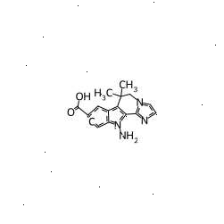 CC1(C)Cn2ccnc2-c2c1c1cc(C(=O)O)ccc1n2N